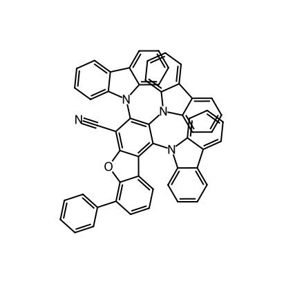 N#Cc1c(-n2c3ccccc3c3ccccc32)c(-n2c3ccccc3c3ccccc32)c(-n2c3ccccc3c3ccccc32)c2c1oc1c(-c3ccccc3)cccc12